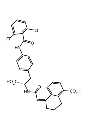 O=C(/C=C1/CCCc2c(C(=O)O)cccc21)N[C@@H](Cc1ccc(NC(=O)c2c(Cl)cccc2Cl)cc1)C(=O)O